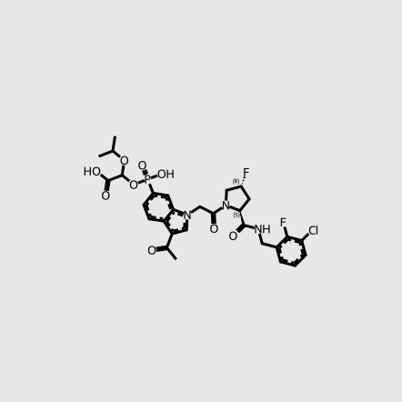 CC(=O)c1cn(CC(=O)N2C[C@H](F)C[C@H]2C(=O)NCc2cccc(Cl)c2F)c2cc(P(=O)(O)OC(OC(C)C)C(=O)O)ccc12